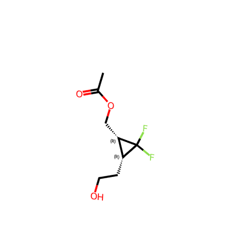 CC(=O)OC[C@H]1[C@@H](CCO)C1(F)F